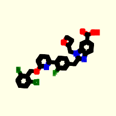 O=C(O)c1ccc2nc(Cc3ccc(-c4cccc(OCc5c(F)cccc5Cl)n4)c(F)c3)n(CC3CCO3)c2c1